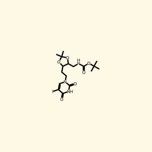 CC(C)(C)OC(=O)NCC1OC(C)(C)OC1CCn1cc(I)c(=O)[nH]c1=O